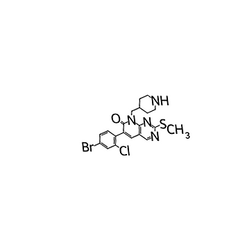 CSc1ncc2cc(-c3ccc(Br)cc3Cl)c(=O)n(CC3CCNCC3)c2n1